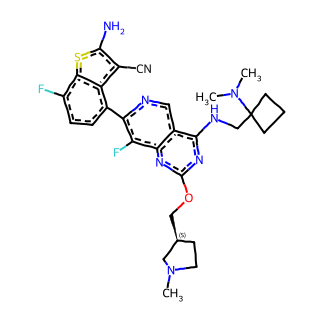 CN1CC[C@H](COc2nc(NCC3(N(C)C)CCC3)c3cnc(-c4ccc(F)c5sc(N)c(C#N)c45)c(F)c3n2)C1